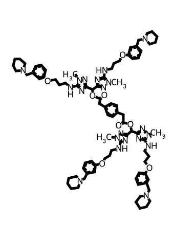 Cn1nc(C(OC(=O)Cc2ccc(CC(=O)OC(c3nc(NCCCOc4cccc(CN5CCCCC5)c4)n(C)n3)c3nc(NCCCOc4cccc(CN5CCCCC5)c4)n(C)n3)cc2)c2nc(NCCCOc3cccc(CN4CCCCC4)c3)n(C)n2)nc1NCCCOc1cccc(CN2CCCCC2)c1